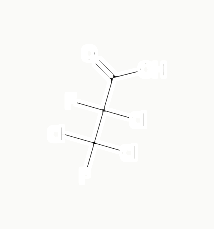 O=C(O)C(F)(Cl)C(F)(Cl)Cl